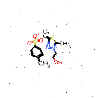 Cc1ccc(S(=O)(=O)[O-])cc1.Cc1n[n+](CCO)c(C)s1